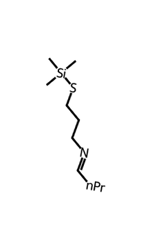 CCCC=NCCCS[Si](C)(C)C